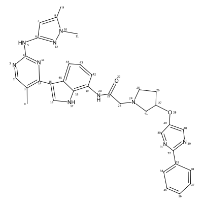 Cc1cnc(Nc2cc(C)n(C)n2)nc1-c1c[nH]c2c(NC(=O)CN3CCC(Oc4cnc(-c5ccccc5)nc4)C3)cccc12